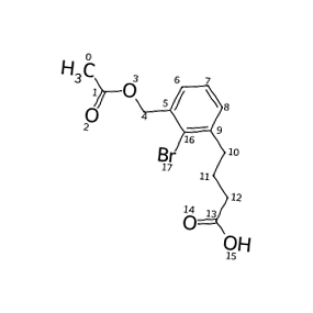 CC(=O)OCc1cccc(CCCC(=O)O)c1Br